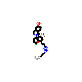 CCCCn1nnc(/C=C/c2ccc(C3(C)c4ccc(O)cc4CCN3c3ccc(F)cc3)cc2)n1